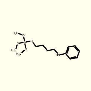 CO[Si](OC)(OC)OCCCCNc1ccccc1